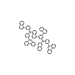 c1cc(-c2cc3ccccc3c3ccccc23)cc(N(c2cc(-c3cccc4ccccc34)cc(-c3cccc4c(N(c5cccc(-c6cccc7ccccc67)c5)c5cccc(-c6cc7ccccc7c7ccccc67)c5)cccc34)c2)c2ccc3ccccc3c2)c1